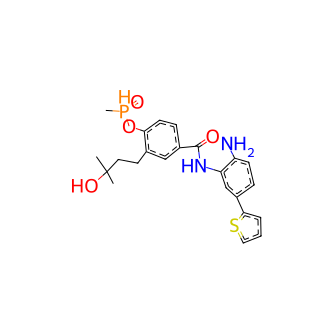 C[PH](=O)Oc1ccc(C(=O)Nc2cc(-c3cccs3)ccc2N)cc1CCC(C)(C)O